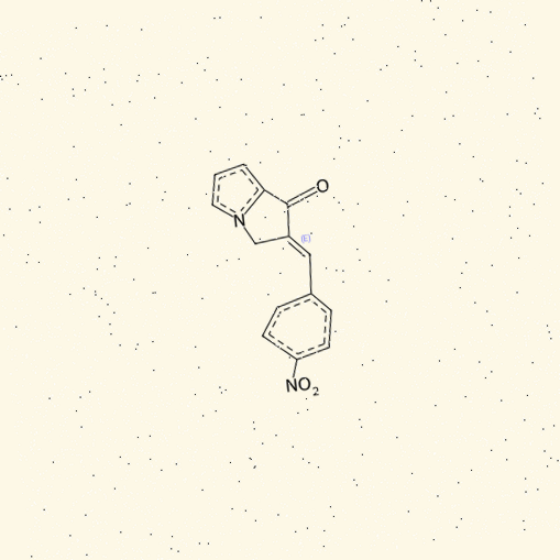 O=C1/C(=C/c2ccc([N+](=O)[O-])cc2)Cn2cccc21